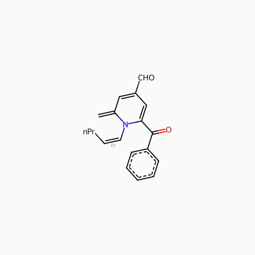 C=C1C=C(C=O)C=C(C(=O)c2ccccc2)N1/C=C\CCC